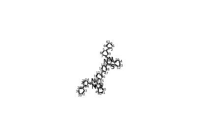 c1ccc(-c2cccc(-c3nc(-c4ccc(-c5ccc(-c6nc(-c7cccc(-c8ccccc8)c7)nc7c6sc6ccccc67)cc5)cc4)c4sc5ccccc5c4n3)c2)cc1